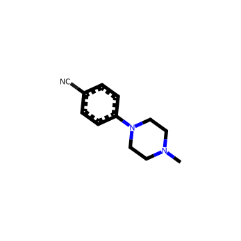 CN1CCN(c2ccc(C#N)cc2)CC1